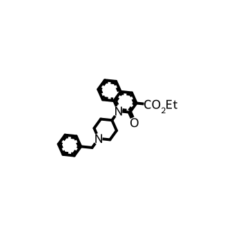 CCOC(=O)c1cc2ccccc2n(C2CCN(Cc3ccccc3)CC2)c1=O